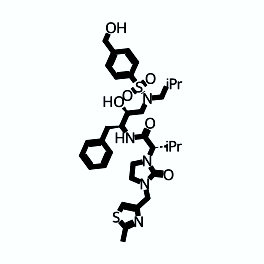 Cc1nc(CN2CCN([C@H](C(=O)N[C@@H](Cc3ccccc3)[C@@H](O)CN(CC(C)C)S(=O)(=O)c3ccc(CO)cc3)C(C)C)C2=O)cs1